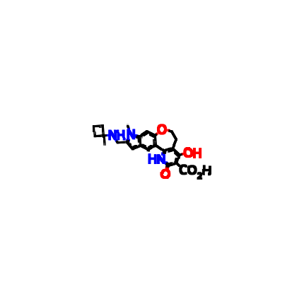 Cn1c(CNC2(C)CCC2)cc2cc3c(cc21)OCCc1c-3[nH]c(=O)c(C(=O)O)c1O